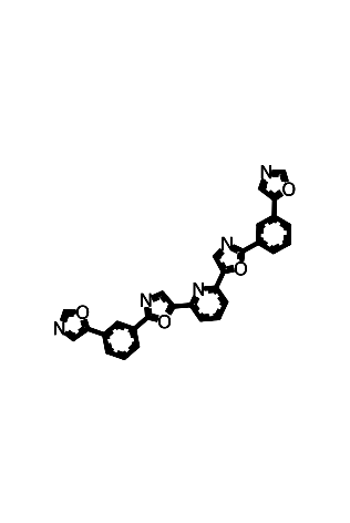 c1cc(-c2cnco2)cc(-c2ncc(-c3cccc(-c4cnc(-c5cccc(-c6cnco6)c5)o4)n3)o2)c1